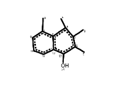 Cc1c(C)c(C)c2c(C)cccc2c1O